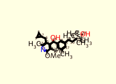 COc1nc(C)c(CC2CC2)c(C(O)c2cc(C)cc(CCC(C)(C)[Si](C)(C)O)c2)c1C(C)C